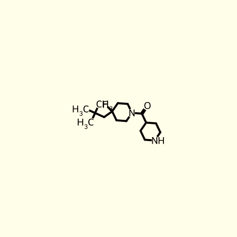 CC(C)(C)CC1(F)CCN(C(=O)C2CCNCC2)CC1